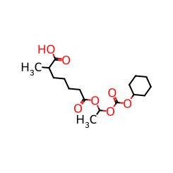 CC(OC(=O)CCCCC(C)C(=O)O)OC(=O)OC1CCCCC1